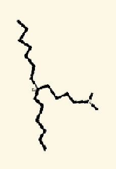 CCCCCCC[C@H](CCCCCC)CCCCN(C)C